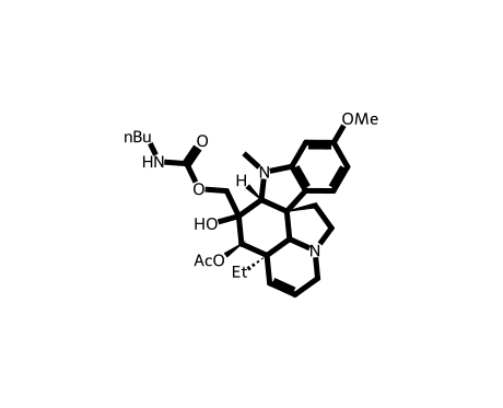 CCCCNC(=O)OCC1(O)[C@H](OC(C)=O)[C@]2(CC)C=CCN3CC[C@@]4(c5ccc(OC)cc5N(C)[C@@H]14)C32